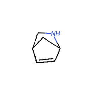 [C]1=CC2CC1CN2